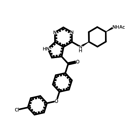 CC(=O)N[C@H]1CC[C@@H](Nc2ncnc3[nH]cc(C(=O)c4ccc(Oc5ccc(Cl)cc5)cc4)c23)CC1